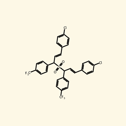 O=S(=O)(C(C=Cc1ccc(Cl)cc1)c1ccc(C(F)(F)F)cc1)C(C=Cc1ccc(Cl)cc1)c1ccc(C(F)(F)F)cc1